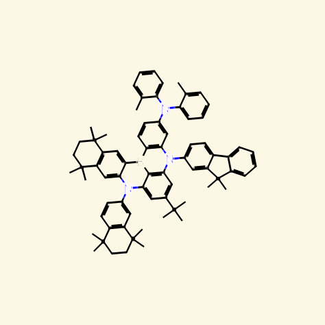 Cc1ccccc1N(c1ccc2c(c1)N(c1ccc3c(c1)C(C)(C)c1ccccc1-3)c1cc(C(C)(C)C)cc3c1B2c1cc2c(cc1N3c1ccc3c(c1)C(C)(C)CCC3(C)C)C(C)(C)CCC2(C)C)c1ccccc1C